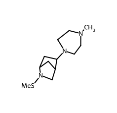 CSN1CC2CC1CC2N1CCN(C)CC1